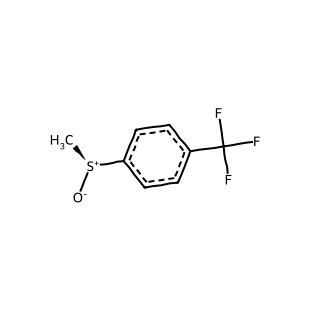 C[S@+]([O-])c1ccc(C(F)(F)F)cc1